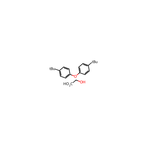 CC(C)(C)c1ccc(Oc2ccc(C(C)(C)C)cc2)cc1.O=C(O)CO